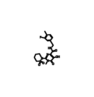 Cc1ccc(CNC(=O)c2nc(N3CCCCS3(=O)=O)n(C)c(=O)c2O)cc1F